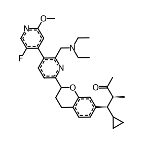 CCN(CC)Cc1nc(C2CCc3ccc([C@H](C4CC4)[C@H](C)C(C)=O)cc3O2)ccc1-c1cc(OC)ncc1F